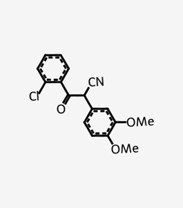 COc1ccc(C(C#N)C(=O)c2ccccc2Cl)cc1OC